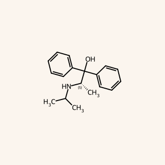 CC(C)N[C@@H](C)C(O)(c1ccccc1)c1ccccc1